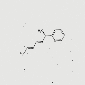 C/C=C/C=C/[C@@H](C)c1ccccn1